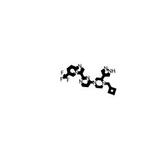 FC(F)(F)c1ccc2ncc(-c3nccc(N4CCN(CC5CCC5)C(c5cn[nH]c5)C4)n3)n2c1